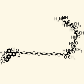 CC(=O)N1c2ccc(-c3ccc(C(=O)NCCOCCOCCOCCOCCOCCOCCOCCOCCNC(=O)c4cc(NC(=O)c5nc(NC(=O)CCNC(=O)c6cc(NC(=O)c7nc(NC(=O)CCNC(=N)N)cn7C)cn6C)cn5C)cn4C)cc3-c3cc(N)ccc3Cl)cc2CC[C@@H]1C